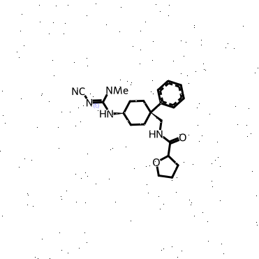 CN/C(=N\C#N)N[C@H]1CC[C@](CNC(=O)C2CCCO2)(c2ccccc2)CC1